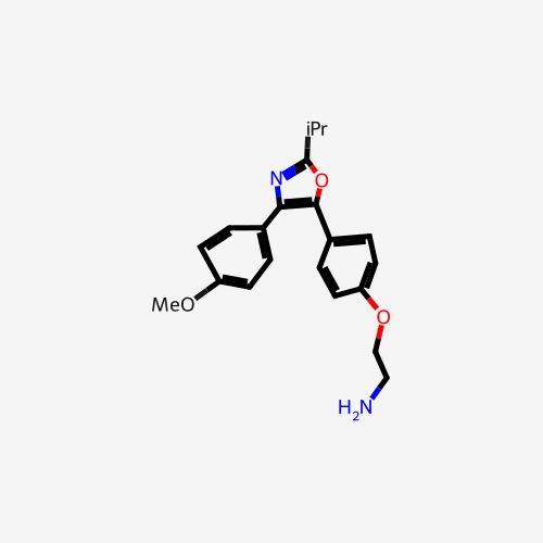 COc1ccc(-c2nc(C(C)C)oc2-c2ccc(OCCN)cc2)cc1